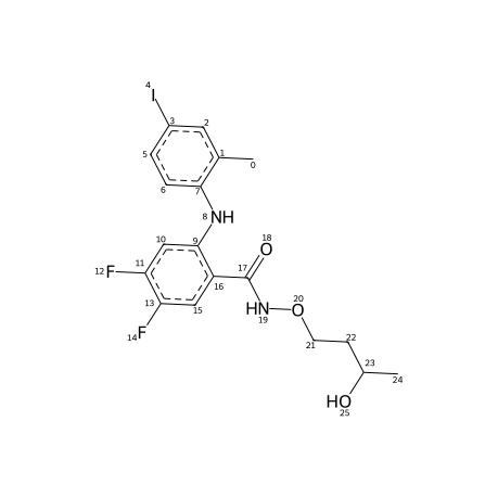 Cc1cc(I)ccc1Nc1cc(F)c(F)cc1C(=O)NOCCC(C)O